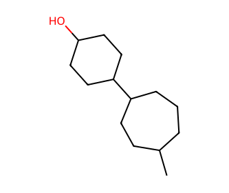 CC1CCCC(C2CCC(O)CC2)CC1